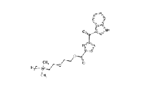 C[N+](C)(C)CCOCCOC(=O)c1csc(C(=O)c2c[nH]c3ccccc23)n1